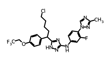 Cc1ncn(-c2ccc(Nc3n[nH]c(C(CCCCCl)c4ccc(OCC(F)(F)F)cc4)n3)cc2F)n1